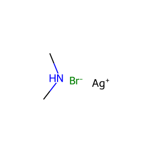 CNC.[Ag+].[Br-]